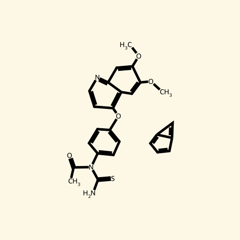 COc1cc2nccc(Oc3ccc(N(C(C)=O)C(N)=S)cc3)c2cc1OC.c1cc2cc-2c1